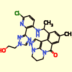 Cc1cc(C(C)Nc2ccc(Cl)nc2-c2ncn(CCO)n2)c2c(c1)c(=O)n1c3c2cnn3CCC1